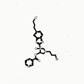 O=C(OC1CN(CCCBr)C[N+]1([O-])c1nc2ccc(CCCCl)cc2s1)c1cccnc1